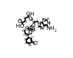 C[C@H](Cn1cnc2c(N)ncnc21)OC[P@@]1(=O)OCC[C@@H](c2cccc(Cl)c2)O1.O=C(O)CCC(=O)O